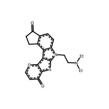 CCN(CC)CCn1c2ccc3c(c2c2c4occc(=O)c4sc21)CCC3=O